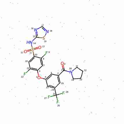 O=C(c1cc(Oc2cc(F)c(S(=O)(=O)Nc3ncns3)cc2F)cc(C(F)(F)F)c1)N1CCCC1